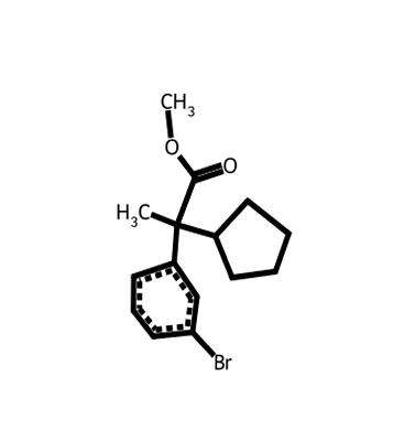 COC(=O)C(C)(c1cccc(Br)c1)C1CCCC1